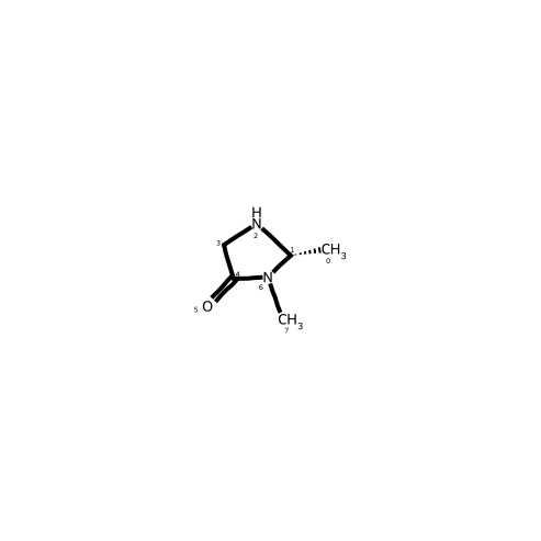 C[C@H]1NCC(=O)N1C